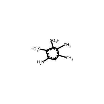 Cc1cc(N)c(S(=O)(=O)O)c(S(=O)(=O)O)c1C